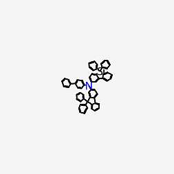 c1ccc(-c2ccc(N(c3ccc4c(c3)-c3ccccc3[Si]4(c3ccccc3)c3ccccc3)c3ccc4c(c3)C(c3ccccc3)(c3ccccc3)c3ccccc3-4)cc2)cc1